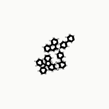 c1ccc(-c2ccc(N(c3ccc(-c4cccc5c4Sc4c(ccc6c4-c4ccccc4C6(c4ccccc4)c4ccccc4)O5)cc3)c3cc4ccccc4c4ccccc34)cc2)cc1